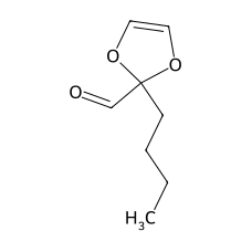 CCCCC1(C=O)OC=CO1